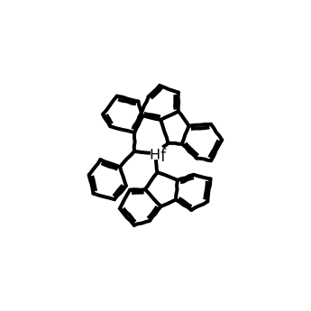 c1ccc([CH](c2ccccc2)[Hf]([CH]2c3ccccc3-c3ccccc32)[CH]2c3ccccc3-c3ccccc32)cc1